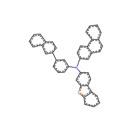 c1cc(-c2ccc3ccccc3c2)cc(N(c2ccc3c(ccc4ccccc43)c2)c2ccc3c(c2)sc2ccccc23)c1